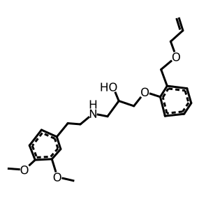 C=CCOCc1ccccc1OCC(O)CNCCc1ccc(OC)c(OC)c1